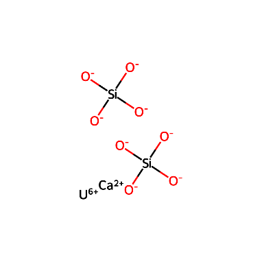 [Ca+2].[O-][Si]([O-])([O-])[O-].[O-][Si]([O-])([O-])[O-].[U+6]